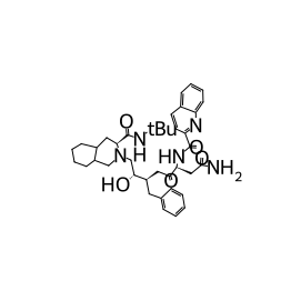 CC(C)(C)NC(=O)[C@@H]1CC2CCCCC2CN1C[C@@H](O)[C@@H](CC(=O)[C@H](CC(N)=O)NC(=O)c1ccc2ccccc2n1)Cc1ccccc1